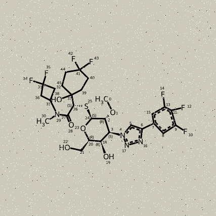 CO[C@@H]1[C@@H](n2cc(-c3cc(F)c(F)c(F)c3)nn2)[C@@H](O)[C@@H](CO)O[C@H]1S[C@H](C(=O)N(C)C1CC(F)(F)C1)C1(O)CCC(F)(F)CC1